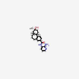 CCC[C@]1(O)CC[C@]2(CC)c3ccc(C(=O)Nc4cccnc4N)cc3CCC[C@@H]2C1